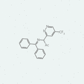 CC(=O)C(N=C(c1ccccc1)c1ccccc1)c1cc(C(F)(F)F)cnn1